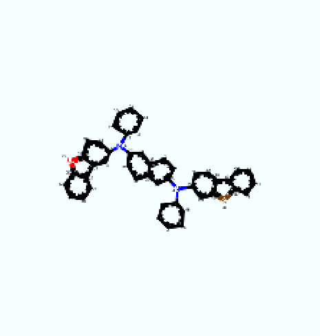 c1ccc(N(c2ccc3cc(N(c4ccccc4)c4ccc5oc6ccccc6c5c4)ccc3c2)c2ccc3c(c2)sc2ccccc23)cc1